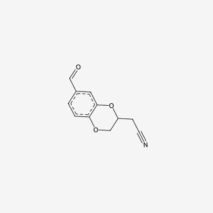 N#CCC1COc2ccc(C=O)cc2O1